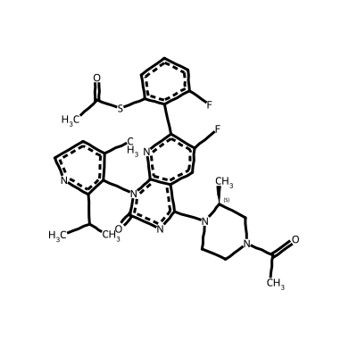 CC(=O)Sc1cccc(F)c1-c1nc2c(cc1F)c(N1CCN(C(C)=O)C[C@@H]1C)nc(=O)n2-c1c(C)ccnc1C(C)C